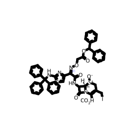 O=C(CO/N=C(\C(=O)NC1C(=O)N2C(C(=O)O)=C(CI)C[S+]([O-])[C@H]12)c1csc(NC(c2ccccc2)(c2ccccc2)c2ccccc2)n1)OC(c1ccccc1)c1ccccc1